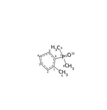 Cc1cc[c]cc1P(C)(C)=O